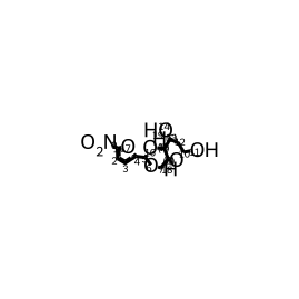 O=[N+]([O-])c1ccc(C2OC[C@H]3OC(O)C[C@H](O)[C@H]3O2)o1